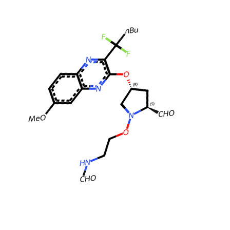 CCCCC(F)(F)c1nc2ccc(OC)cc2nc1O[C@@H]1C[C@@H](C=O)N(OCCNC=O)C1